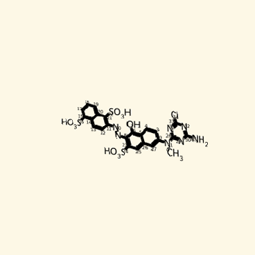 CN(c1ccc2c(O)c(/N=N/c3ccc4c(S(=O)(=O)O)cccc4c3S(=O)(=O)O)c(S(=O)(=O)O)cc2c1)c1nc(N)nc(Cl)n1